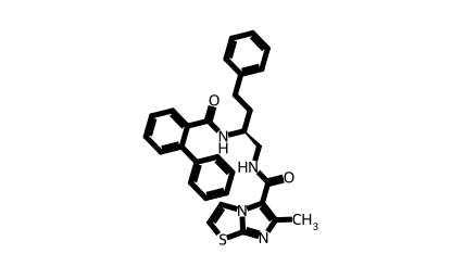 Cc1nc2sccn2c1C(=O)NC[C@H](CCc1ccccc1)NC(=O)c1ccccc1-c1ccccc1